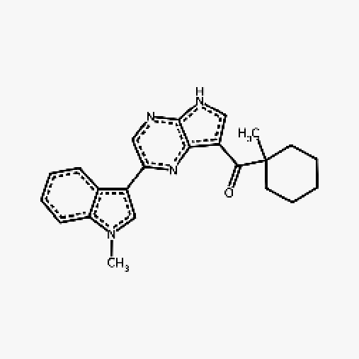 Cn1cc(-c2cnc3[nH]cc(C(=O)C4(C)CCCCC4)c3n2)c2ccccc21